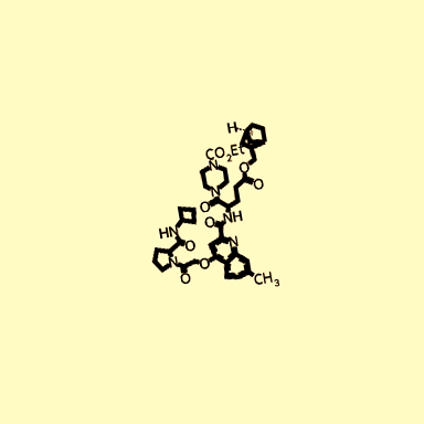 CCOC(=O)N1CCN(C(=O)C(CCC(=O)OCC2C[C@H]3CCC2C3)NC(=O)c2cc(OCC(=O)N3CCCC3C(=O)NC3CCC3)c3ccc(C)cc3n2)CC1